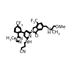 COC[C@H](C)NCc1cc2c(c(C(F)(F)F)c1)CN(c1cc(-c3cc(C(F)(F)F)ccc3-c3nncn3C)cc(NCCCC#N)n1)C2=O